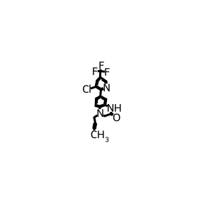 CC#CCN1CC(=O)Nc2cc(-c3ncc(C(F)(F)F)cc3Cl)ccc21